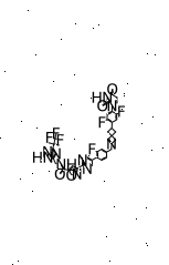 CC(C)(c1n[nH]c(CNC(=O)c2cc(-c3ncc(-c4ccc(CN5CC6(CC(c7cc(F)c(N8CCC(=O)NC8=O)cc7F)C6)C5)cc4F)cn3)no2)n1)C(F)(F)F